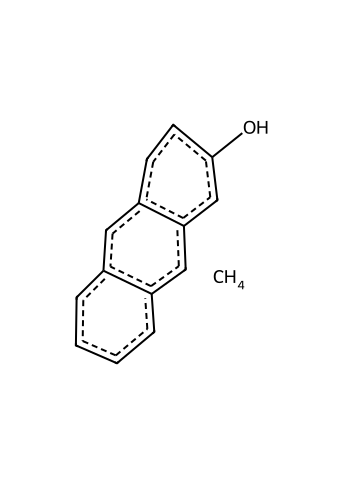 C.Oc1ccc2cc3ccccc3cc2c1